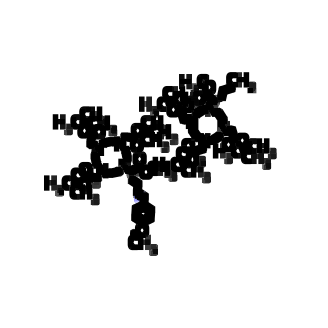 C=CCC[C@@H](C(=O)OC)N1CCN(CC(=O)OC(C)(C)C)CCN(CC(=O)OC(C)(C)C)CCN(CC(=O)OC(C)(C)C)CC1.CCOc1ccc(/C=C/CC[C@@H](C(=O)OC)N2CCN(CC(=O)OC(C)(C)C)CCN(CC(=O)OC(C)(C)C)CCN(CC(=O)OC(C)(C)C)CC2)cc1